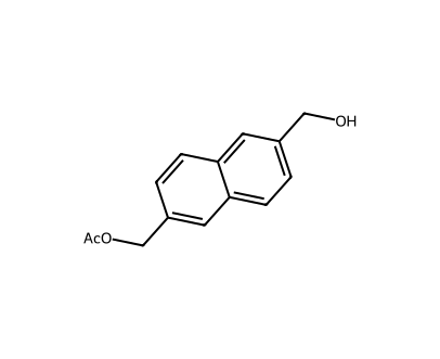 CC(=O)OCc1ccc2cc(CO)ccc2c1